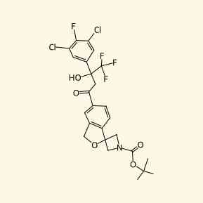 CC(C)(C)OC(=O)N1CC2(C1)OCc1cc(C(=O)CC(O)(c3cc(Cl)c(F)c(Cl)c3)C(F)(F)F)ccc12